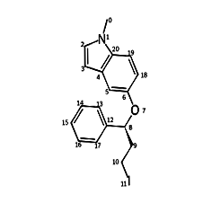 Cn1ccc2cc(O[C@@H](CCI)c3ccccc3)ccc21